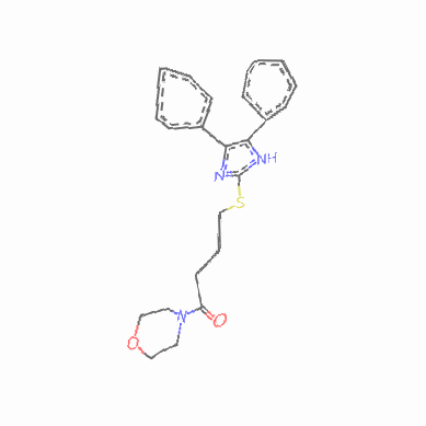 O=C(CCCSc1nc(-c2ccccc2)c(-c2ccccc2)[nH]1)N1CCOCC1